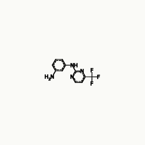 Nc1cccc(Nc2nccc(C(F)(F)F)n2)c1